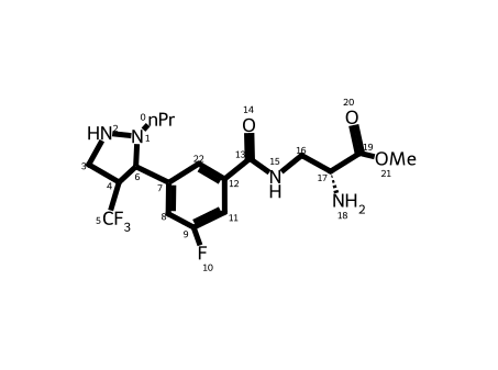 CCCN1NCC(C(F)(F)F)C1c1cc(F)cc(C(=O)NC[C@@H](N)C(=O)OC)c1